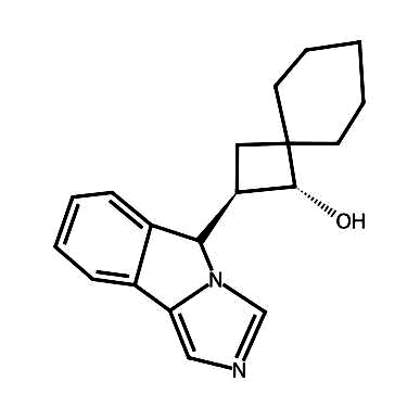 O[C@@H]1[C@@H](C2c3ccccc3-c3cncn32)CC12CCCCC2